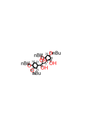 CCCCOc1cc(O)c(C[C@@H](O)[C@H](O)c2ccc(OCCCC)c(OCCCC)c2)c(OCCCC)c1